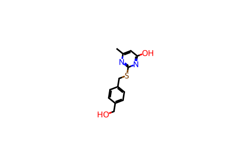 Cc1cc(O)nc(SCc2ccc(CO)cc2)n1